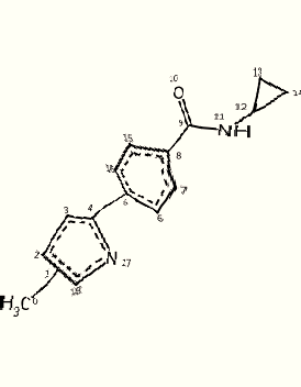 Cc1ccc(-c2ccc(C(=O)NC3CC3)cc2)nc1